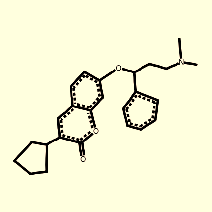 CN(C)CCC(Oc1ccc2cc(C3CCCC3)c(=O)oc2c1)c1ccccc1